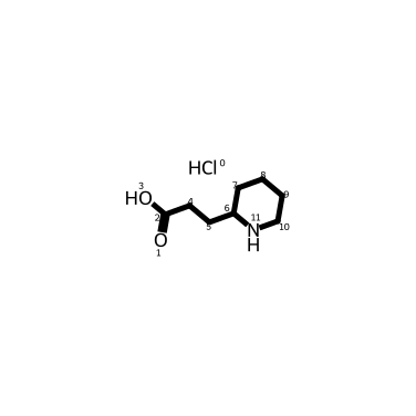 Cl.O=C(O)CCC1CCCCN1